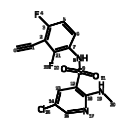 C#Cc1c(F)ccc(NS(=O)(=O)c2cc(Cl)cnc2NC)c1F